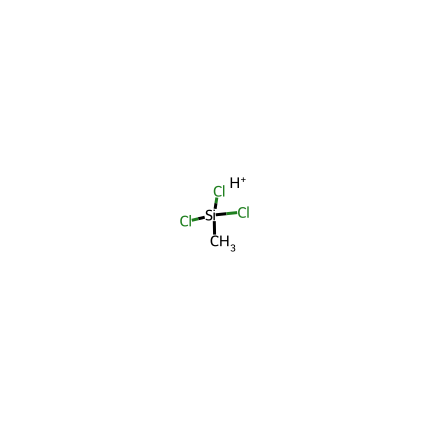 C[Si](Cl)(Cl)Cl.[H+]